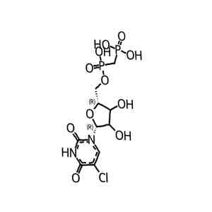 O=c1[nH]c(=O)n([C@@H]2O[C@H](COP(=O)(O)CP(=O)(O)O)C(O)C2O)cc1Cl